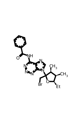 CC[C@H]1OC(CBr)(n2cnc3c(NC(=O)c4ccccc4)nnnc32)[C@@H](C)[C@H]1C